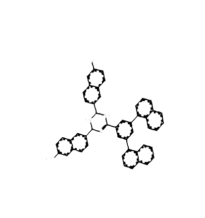 Cc1ccc2cc(C3N=C(c4cc(-c5cccc6ccccc56)cc(-c5cccc6ccccc56)c4)NC(c4ccc5cc(C)ccc5c4)N3)ccc2c1